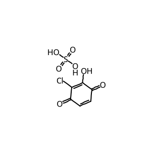 O=C1C=CC(=O)C(Cl)=C1O.O=S(=O)(O)O